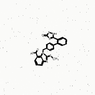 CSc1nc2cccc(C(=O)O)c2n1Cc1ccc(-c2ccccc2-c2nc(=O)s[nH]2)cc1